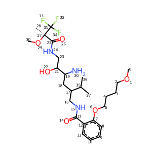 COCCCCOc1ccccc1C(=O)NCC(CC(N)C(O)CNC(=O)[C@@](C)(OC)C(F)(F)F)C(C)C